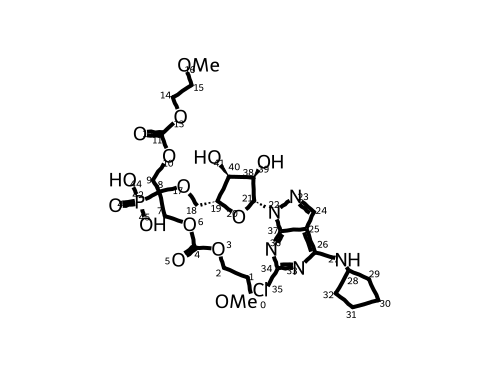 COCCOC(=O)OCC(COC(=O)OCCOC)(OC[C@H]1O[C@@H](n2ncc3c(NC4CCCC4)nc(Cl)nc32)[C@H](O)[C@@H]1O)P(=O)(O)O